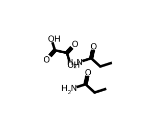 CCC(N)=O.CCC(N)=O.O=C(O)C(=O)O